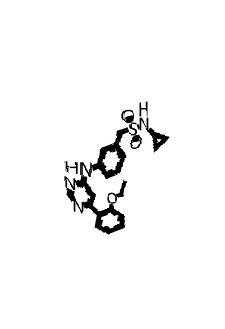 CCOc1ccccc1-c1cc(Nc2cccc(CS(=O)(=O)NC3CC3)c2)ncn1